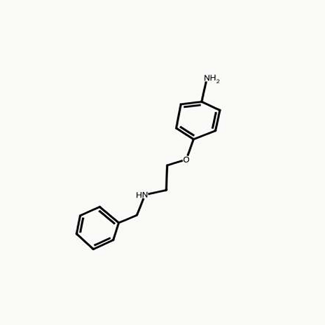 Nc1ccc(OCCNCc2ccccc2)cc1